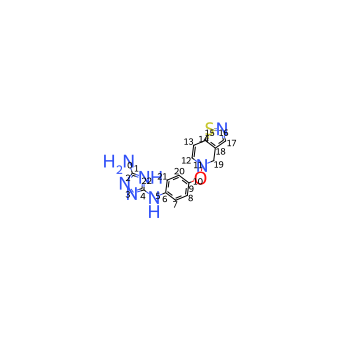 Nc1nnc(Nc2ccc(ON3C=Cc4sncc4C3)cc2)[nH]1